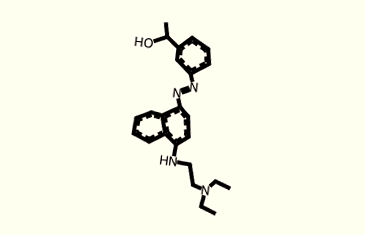 CCN(CC)CCNc1ccc(N=Nc2cccc(C(C)O)c2)c2ccccc12